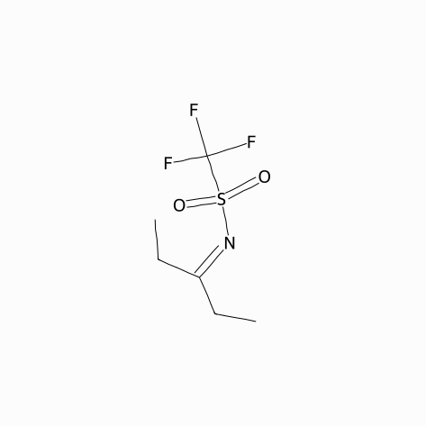 CCC(CC)=NS(=O)(=O)C(F)(F)F